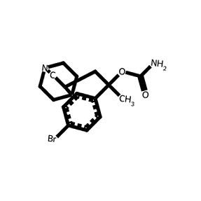 CC(CC1CN2CCC1CC2)(OC(N)=O)c1ccc(Br)cc1